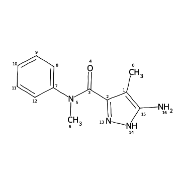 Cc1c(C(=O)N(C)c2ccccc2)n[nH]c1N